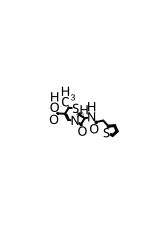 CC1S[C@@H]2C(NC(=O)Cc3cccs3)C(=O)N2C=C1C(=O)O